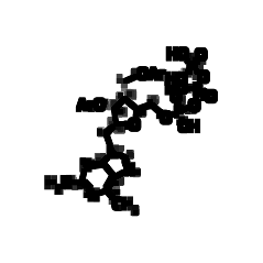 CC(=O)OC[C@H]1[C@@H](OC(C)=O)[C@H](Cn2cnc3c(C)nc(N)nc32)O[C@@H]1COP(=O)(O)OP(=O)(O)OP(=O)(O)O